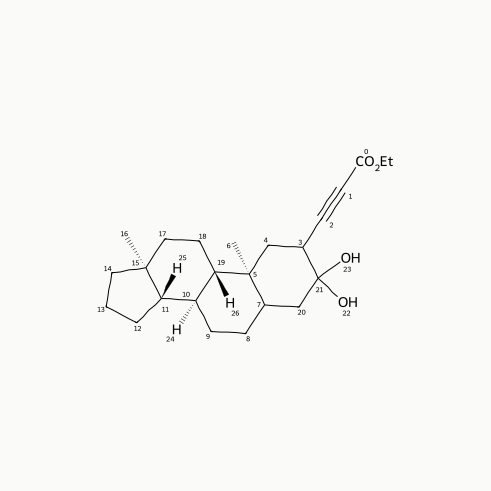 CCOC(=O)C#CC1C[C@@]2(C)C(CC[C@H]3[C@@H]4CCC[C@@]4(C)CC[C@@H]32)CC1(O)O